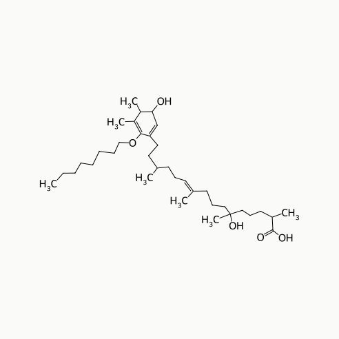 CCCCCCCCOC1=C(C)C(C)C(O)C=C1CCC(C)CC/C=C(\C)CCCC(C)(O)CCCC(C)C(=O)O